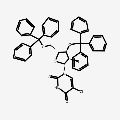 O=c1[nH]c(=O)n([C@@H]2O[C@H](COC(c3ccccc3)(c3ccccc3)c3ccccc3)[C@@H](OC(c3ccccc3)(c3ccccc3)c3ccccc3)[C@H]2I)cc1Cl